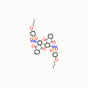 CCCCOc1ccc(S(=O)(=O)Nc2ccc(-c3ccc(NS(=O)(=O)c4ccc(OCCCC)cc4)c4c3C(=O)c3ccccc3C4=O)c3c2C(=O)c2ccccc2C3=O)cc1